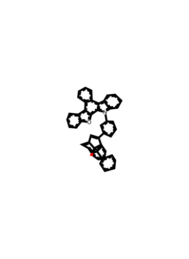 C1=C(c2ccccc2)/C=C(c2cccc(-n3c4ccccc4c4c5ccccc5c5c6ccccc6oc5c43)c2)\C=C(c2ccccc2)/C=C/1